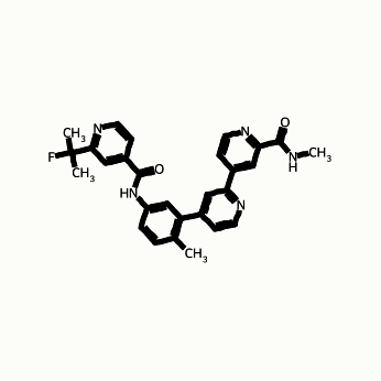 CNC(=O)c1cc(-c2cc(-c3cc(NC(=O)c4ccnc(C(C)(C)F)c4)ccc3C)ccn2)ccn1